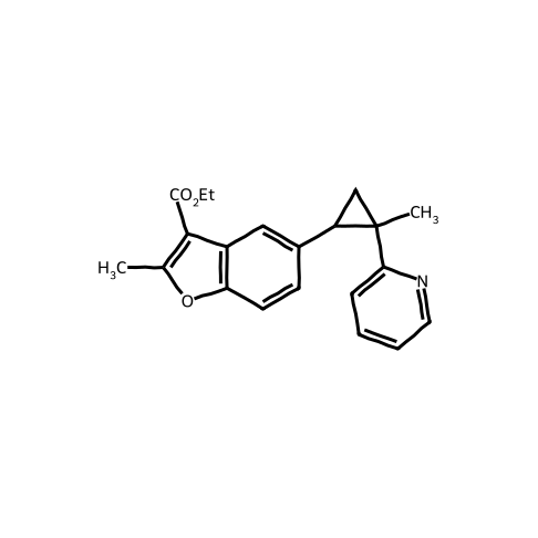 CCOC(=O)c1c(C)oc2ccc(C3CC3(C)c3ccccn3)cc12